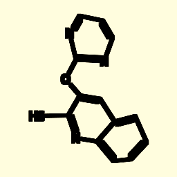 Sc1nc2ccccc2cc1Oc1ncccn1